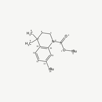 CC(C)(C)OC(=O)N1CCC(C)(C)c2ccc(C(C)(C)C)cc21